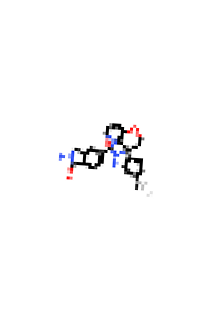 O=C(NC1(c2ccc(C(F)(F)F)cc2)CCOc2cccnc21)c1ccc2c(c1)CNC2=O